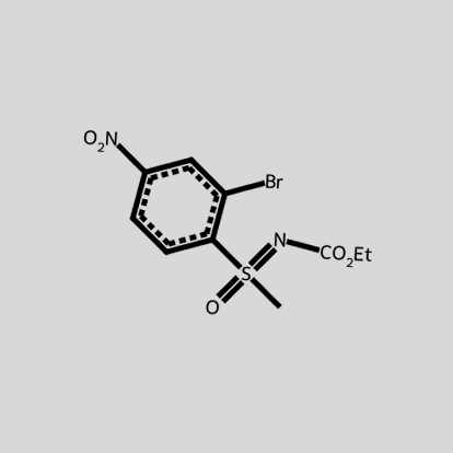 CCOC(=O)N=S(C)(=O)c1ccc([N+](=O)[O-])cc1Br